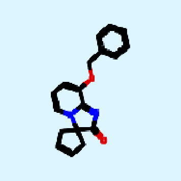 O=C1N=C2C(OCc3ccccc3)=CC=CN2C12CC=CC2